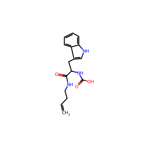 C=CCCNC(=O)C(Cc1c[nH]c2ccccc12)NC(=O)O